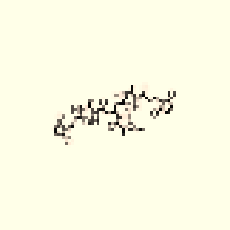 C=C(NC(=O)CCN1C(=O)C=CC1=O)NC(=O)CC(CC(=O)NC(=C)NC(=O)CCN1C(=O)C=CC1=O)NC(=O)C(C)OCC